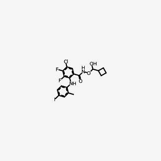 Cc1cc(I)ccc1Nc1c(C(=O)NOC(O)C2CCC2)cc(Cl)c(F)c1F